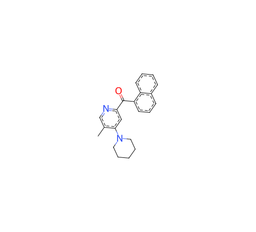 Cc1cnc(C(=O)c2cccc3ccccc23)cc1N1CCCCC1